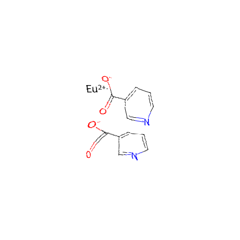 O=C([O-])c1cccnc1.O=C([O-])c1cccnc1.[Eu+2]